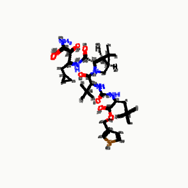 CC(C)(C)C[C@H](NC(=O)N[C@H](C(=O)N1C[C@H]2[C@@H]([C@H]1C(=O)NC(CC1CC1)C(=O)C(N)=O)C2(C)C)C(C)(C)C)C(=O)OCc1ccsc1